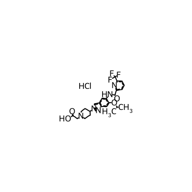 CC(C)Oc1cc2nn(C3CCN(CC(=O)O)CC3)cc2cc1NC(=O)c1cccc(C(F)(F)F)n1.Cl